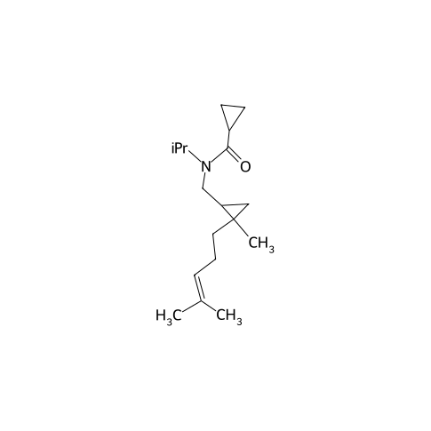 CC(C)=CCCC1(C)CC1CN(C(=O)C1CC1)C(C)C